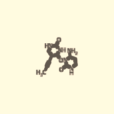 CC#Cc1c[nH]c(=O)[nH]c1=O.Nc1cc[nH]c(=O)n1